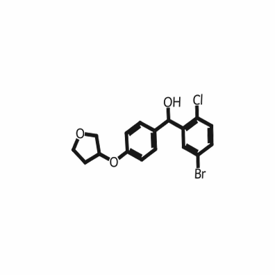 OC(c1ccc(OC2CCOC2)cc1)c1cc(Br)ccc1Cl